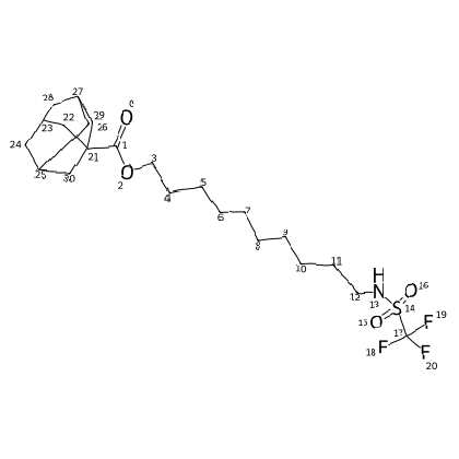 O=C(OCCCCCCCCCCNS(=O)(=O)C(F)(F)F)C12CC3CC(CC(C3)C1)C2